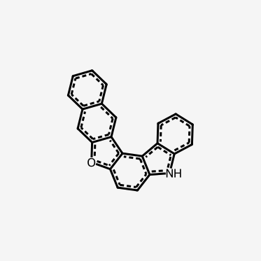 c1ccc2cc3c(cc2c1)oc1ccc2[nH]c4ccccc4c2c13